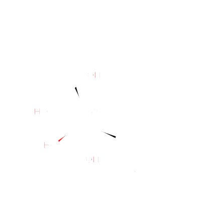 C=Cc1ccc(Cc2cc([C@@H]3O[C@H](CO)[C@@H](O)[C@H](O)[C@H]3O)c(C)c3c2CCO3)cc1